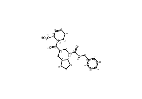 O=C(NC[C@@H](CC1CCCC1)C(=O)N1CCC=CN1C(=O)O)OCc1ccccc1